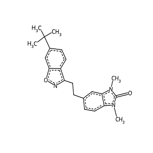 Cn1c(=O)n(C)c2cc(CCc3noc4cc(C(C)(C)C)ccc34)ccc21